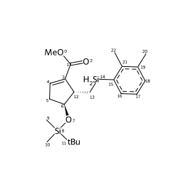 COC(=O)C1=CC[C@H](O[Si](C)(C)C(C)(C)C)[C@H]1C[SiH2]c1cccc(C)c1C